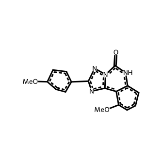 COc1ccc(-c2nc3c4c(OC)cccc4[nH]c(=O)n3n2)cc1